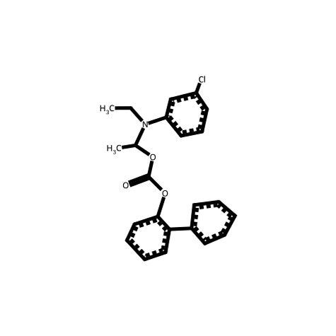 CCN(c1cccc(Cl)c1)C(C)OC(=O)Oc1ccccc1-c1ccccc1